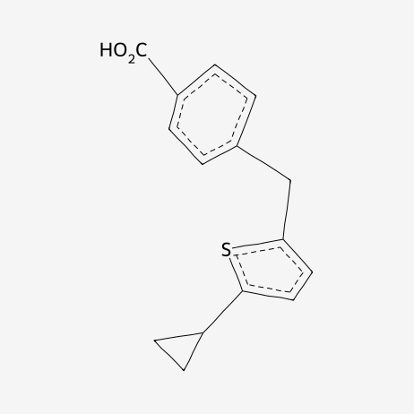 O=C(O)c1ccc(Cc2ccc(C3CC3)s2)cc1